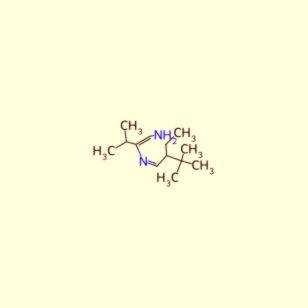 CCC(/C=N\C(=C/N)C(C)C)C(C)(C)C